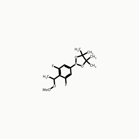 COOC(C)c1c(F)cc(P2OC(C)(C)C(C)(C)O2)cc1F